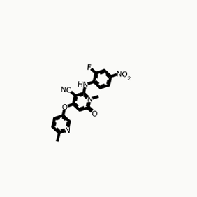 Cc1ccc(Oc2cc(=O)n(C)c(Nc3ccc([N+](=O)[O-])cc3F)c2C#N)cn1